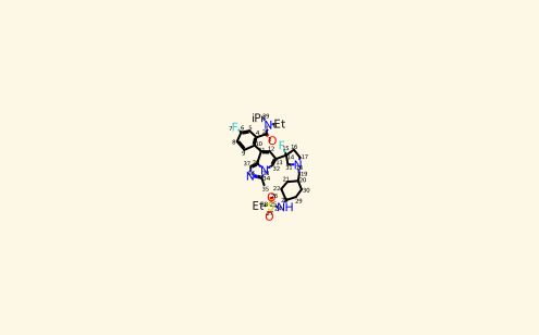 CCN(C(=O)c1cc(F)ccc1-c1cc(C2(F)CCN(CC3CCC(NS(=O)(=O)CC)CC3)C2)cn2c(C)ncc12)C(C)C